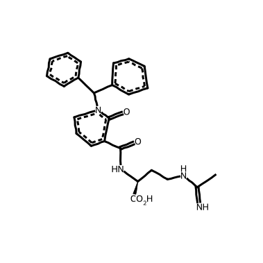 CC(=N)NCC[C@H](NC(=O)c1cccn(C(c2ccccc2)c2ccccc2)c1=O)C(=O)O